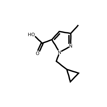 Cc1cc(C(=O)O)n(CC2CC2)n1